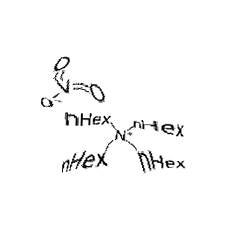 CCCCCC[N+](CCCCCC)(CCCCCC)CCCCCC.[O]=[V](=[O])[O-]